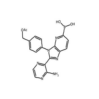 CC(=O)OCc1ccc(-n2c(-c3nccnc3N)nc3ccc(B(O)O)nc32)cc1